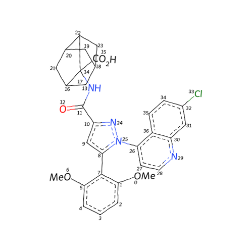 COc1cccc(OC)c1-c1cc(C(=O)NC2(C(=O)O)C3CC4CC(C3)C2C4)nn1-c1ccnc2cc(Cl)ccc12